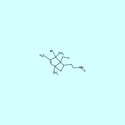 CC1=CC2(C)CC(CCNI)C2(CI)C1(C)C(C)C